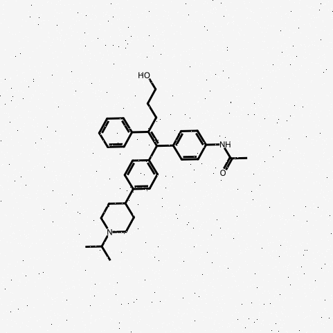 CC(=O)Nc1ccc(/C(=C(\CCCO)c2ccccc2)c2ccc(C3CCN(C(C)C)CC3)cc2)cc1